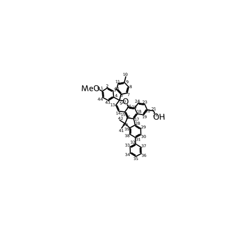 COc1ccc(C2(c3ccc(C)cc3)C=Cc3c4c(c5cc(CO)ccc5c3O2)-c2ccc(-c3ccccc3)cc2C4(C)C)cc1